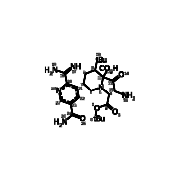 CC(C)(C)OC(=O)CN1CCCC(C(C)(C)C)C1(C(=O)O)C(=O)CN.N=C(N)c1ccc(C(N)=O)cn1